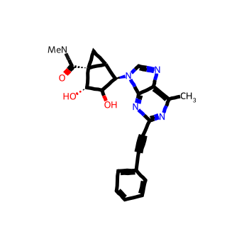 CNC(=O)[C@]12CC1[C@@H](n1cnc3c(C)nc(C#Cc4ccccc4)nc31)C(O)[C@@H]2O